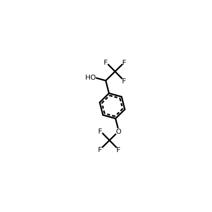 OC(c1ccc(OC(F)(F)F)cc1)C(F)(F)F